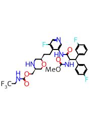 COC(=O)N[C@H](C(=O)Nc1cncc(F)c1CC[C@@H]1CN[C@H](COC(=O)NCC(F)(F)F)CO1)[C@H](c1ccc(F)cc1)c1cccc(F)c1